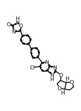 O=c1nc(-c2ccc(-c3ccc(-c4nc5nc(OC6CO[C@@H]7CCO[C@H]67)[nH]c5cc4Cl)cc3)cc2)o[nH]1